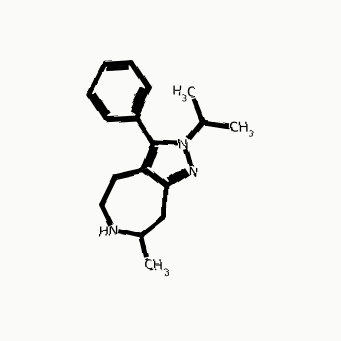 CC1Cc2nn(C(C)C)c(-c3ccccc3)c2CCN1